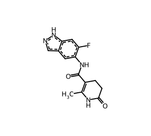 CC1=C(C(=O)Nc2cc3cn[nH]c3cc2F)CCC(=O)N1